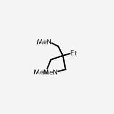 CCC(CNC)(CNC)CNC